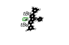 Cc1cc(C)cc(-c2cc3c(cc2C(C)(C)C)-c2cc(C(C)(C)C)c(-c4cc(C)cc(C)c4)cc2[CH]3[Zr+2][C]2=CC=CC2)c1.[Cl-].[Cl-]